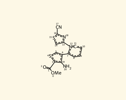 COC(=O)c1scc(-c2cccc[n+]2-c2csc(C#N)n2)c1N